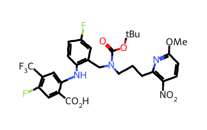 COc1ccc([N+](=O)[O-])c(CCCN(Cc2cc(F)ccc2Nc2cc(C(F)(F)F)c(F)cc2C(=O)O)C(=O)OC(C)(C)C)n1